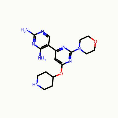 Nc1ncc(-c2cc(OC3CCNCC3)nc(N3CCOCC3)n2)c(N)n1